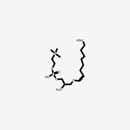 CCCCCCCCCCCCCCCC/C=C\OCC(COP(=O)(O)OCC[N+](C)(C)C)OC(C)=O